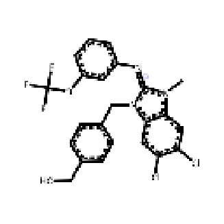 Cn1/c(=N/c2cccc(OC(F)(F)F)c2)n(Cc2ccc(CO)cc2)c2cc(Cl)c(Cl)cc21